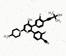 CC(C)(O)C#Cc1ccc(-c2c(O)cc(N3CCC(N)CC3)nc2-c2ccc(C#N)c(F)c2)cc1F